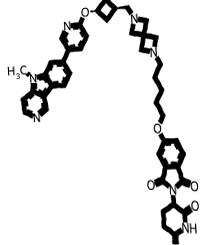 Cn1c2ccncc2c2ccc(-c3ccc(O[C@H]4C[C@H](CN5CC6(CN(CCCCCOc7ccc8c(c7)C(=O)N(C7CCC(=O)NC7=O)C8=O)C6)C5)C4)nc3)cc21